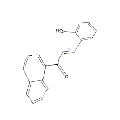 O=C(/C=C/c1ccccc1O)c1cccc2ccccc12